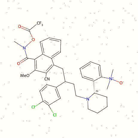 COc1c(C#N)c(CC(CCN2CCCC[C@H]2c2ccccc2[N+](C)(C)[O-])c2ccc(Cl)c(Cl)c2)c2ccccc2c1C(=O)N(C)OC(=O)C(F)(F)F